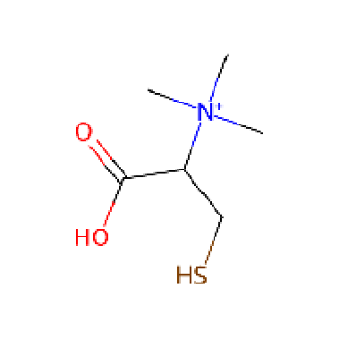 C[N+](C)(C)C(CS)C(=O)O